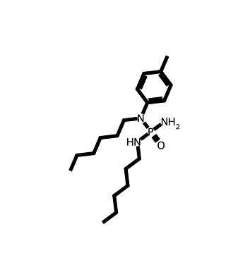 CCCCCCNP(N)(=O)N(CCCCCC)c1ccc(C)cc1